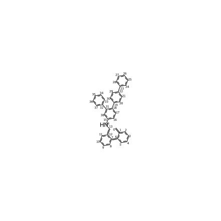 C=c1cccc/c1=c1\cccc\c1=C/Nc1ccc(-c2ccc(-c3ccccc3)cc2)c(-c2ccccc2)c1